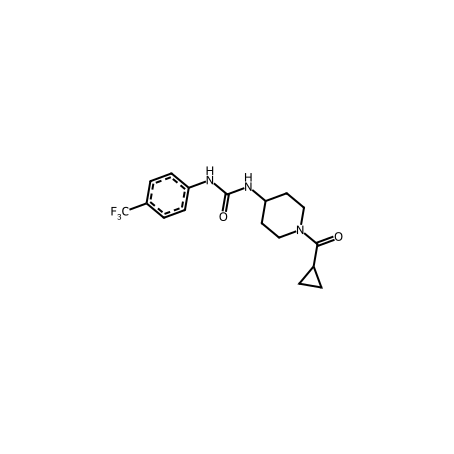 O=C(Nc1ccc(C(F)(F)F)cc1)NC1CCN(C(=O)C2CC2)CC1